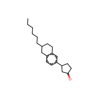 CCCCCCC1CCc2cc(C3CCC(=O)C3)ccc2C1